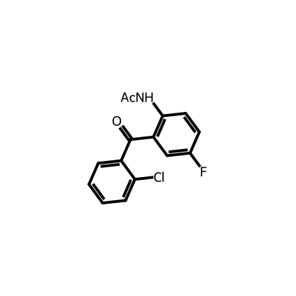 CC(=O)Nc1ccc(F)cc1C(=O)c1ccccc1Cl